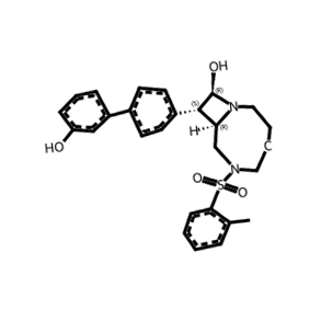 Cc1ccccc1S(=O)(=O)N1CCCCN2[C@H](O)[C@@H](c3ccc(-c4cccc(O)c4)cc3)[C@@H]2C1